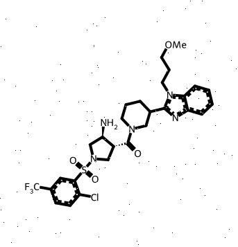 COCCCn1c(C2CCCN(C(=O)[C@@H]3CN(S(=O)(=O)c4cc(C(F)(F)F)ccc4Cl)C[C@H]3N)C2)nc2ccccc21